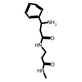 CNC(=O)CCNC(=O)CC(N)c1ccccc1